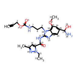 C#CCOC(=O)NCCCn1c(NC(=O)c2cc(C)nn2CC)nc2cc(C(N)O)cc(OC)c21